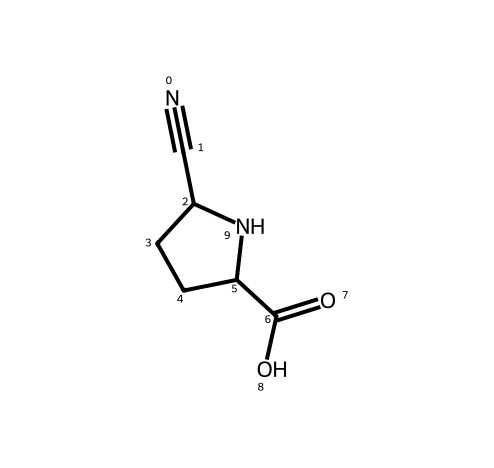 N#CC1CCC(C(=O)O)N1